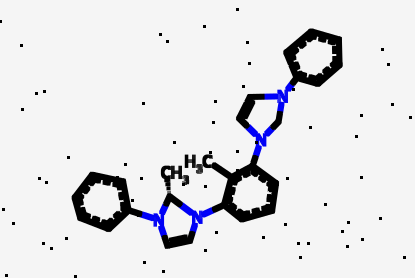 Cc1c(N2C=CN(c3ccccc3)C2)cccc1N1C=CN(c2ccccc2)[C@@H]1C